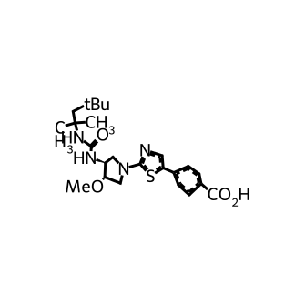 CO[C@H]1CN(c2ncc(-c3ccc(C(=O)O)cc3)s2)C[C@@H]1NC(=O)NC(C)(C)CC(C)(C)C